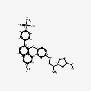 CC(COc1ccc(Oc2c(-c3ccc(S(C)(=O)=O)cc3)ccc3cc(O)ccc23)cc1)N1CC[C@@H](CF)C1